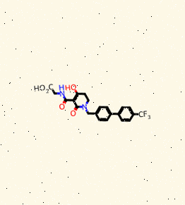 O=C(O)CNC(=O)C1=C(O)CCN(Cc2ccc(-c3ccc(C(F)(F)F)cc3)cc2)C1=O